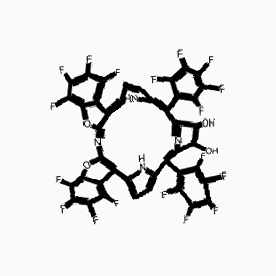 OC1c2nc(c(-c3c(F)c(F)c(F)c(F)c3F)c3ccc([nH]3)c3c(nc4oc5c(F)c(F)c(F)c(F)c5c4c4ccc([nH]4)c2-c2c(F)c(F)c(F)c(F)c2F)oc2c(F)c(F)c(F)c(F)c23)C1O